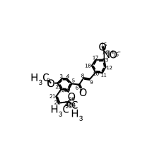 COc1ccc(C(=O)/C=C/c2ccc([N+](=O)[O-])cc2)c2c1C=CC(C)(C)O2